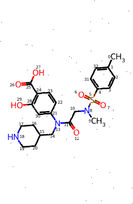 Cc1ccc(S(=O)(=O)N(C)CC(=O)N(CC2CCNCC2)c2ccc(C(=O)O)c(O)c2)cc1